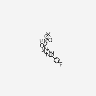 CC(C)(C)OC(=O)NCC(=O)N1Cc2nc(-c3ccc(F)cc3)cn2CC1(C)C